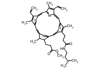 C=CC1=C(C)C2=NC1=CC1=NC(=CC3=NC(=CC4=NC(=C2)C(C=C)=C4C)C(C)C3CCC(=O)OC)C(CCC(=O)NCCN(C)C)=C1C